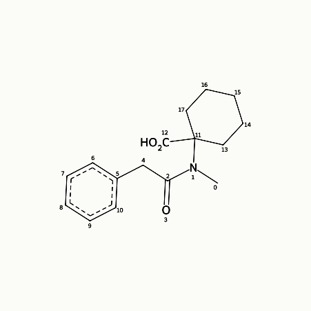 CN(C(=O)Cc1ccccc1)C1(C(=O)O)CCCCC1